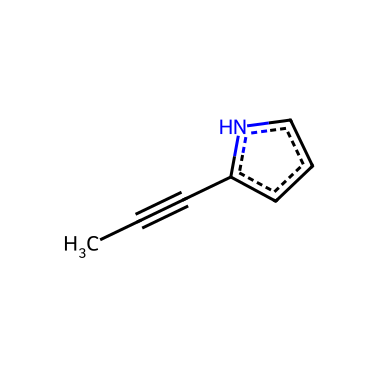 CC#Cc1ccc[nH]1